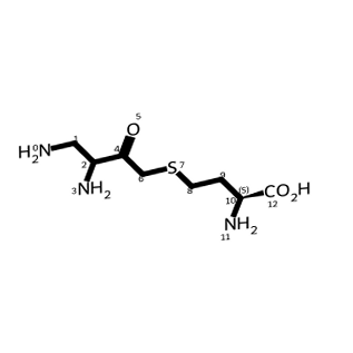 NCC(N)C(=O)CSCC[C@H](N)C(=O)O